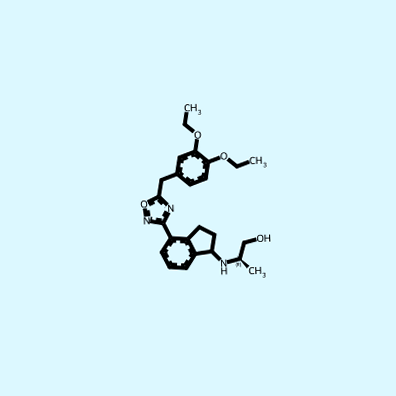 CCOc1ccc(Cc2nc(-c3cccc4c3CCC4N[C@H](C)CO)no2)cc1OCC